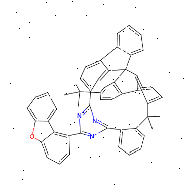 CC(C)(C)c1ccc2c(c1)C13c4ccccc4-c4ccc(cc41)-c1nc(nc(-c4cccc5oc6ccccc6c45)n1)-c1ccccc1C(C)(C)c1ccc-2c3c1